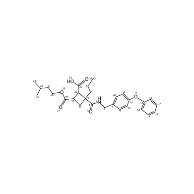 CCCC1(C(=O)NCc2ccc(Oc3ccccc3)cc2)CC(C(=O)OCCC(C)C)C1C(=O)O